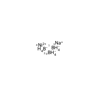 [BH4-].[BH4-].[BH4-].[Na+].[Ni+2]